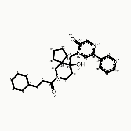 O=C(CCC1CCCCC1)N1CCC(O)(Cn2cc(-c3cccnc3)ncc2=O)C2(CCCC2)C1